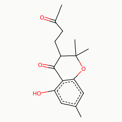 CC(=O)CCC1C(=O)c2c(O)cc(C)cc2OC1(C)C